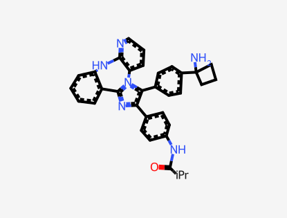 CC(C)C(=O)Nc1ccc(-c2nc3n(c2-c2ccc(C4(N)CCC4)cc2)-c2cccnc2Nc2ccccc2-3)cc1